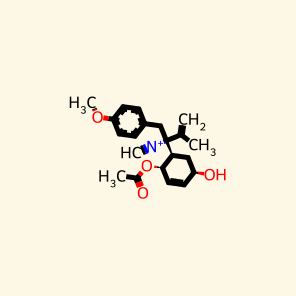 C#[N+]C(Cc1ccc(OC)cc1)(C(=C)C)[C@H]1C[C@@H](O)C=C[C@@H]1OC(C)=O